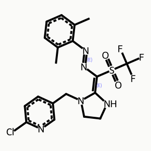 Cc1cccc(C)c1/N=N/C(=C1/NCCN1Cc1ccc(Cl)nc1)S(=O)(=O)C(F)(F)F